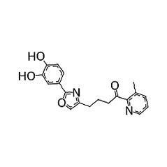 Cc1cccnc1C(=O)CCCc1coc(-c2ccc(O)c(O)c2)n1